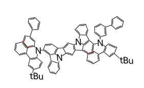 CC(C)(C)c1ccc(N(c2cccc(-c3ccccc3)c2)c2ccc3c4cc5c(cc4n4c6ccccc6c2c34)c2ccc(N(c3cccc(-c4ccccc4)c3)c3ccc(C(C)(C)C)cc3-c3ccccc3)c3c4ccccc4n5c23)c(-c2ccccc2)c1